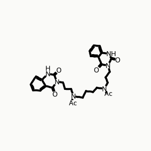 CC(=O)N(CCCCN(CCCn1c(=O)[nH]c2ccccc2c1=O)C(C)=O)CCCn1c(=O)[nH]c2ccccc2c1=O